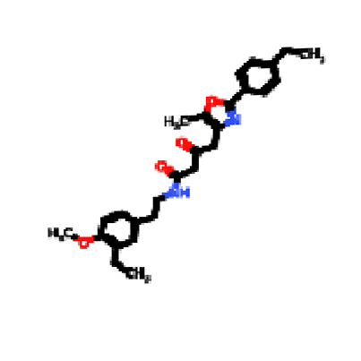 CCc1ccc(-c2nc(CC(=O)CC(=O)NCCc3ccc(OC)c(CC)c3)c(C)o2)cc1